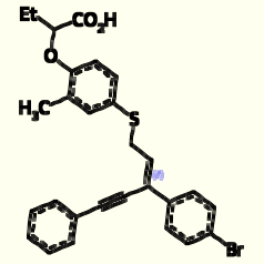 CCC(Oc1ccc(SC/C=C(\C#Cc2ccccc2)c2ccc(Br)cc2)cc1C)C(=O)O